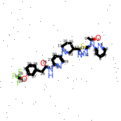 CC(=O)N(c1ccccn1)c1nnc(C2CCCN(c3ccc(NC(=O)Cc4cccc(OC(F)(F)F)c4)nc3)C2)s1